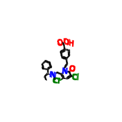 CCC(c1ccccc1)N(C)Cc1c(Cl)cc(Cl)c(=O)n1CCc1ccc(C(=O)O)cc1